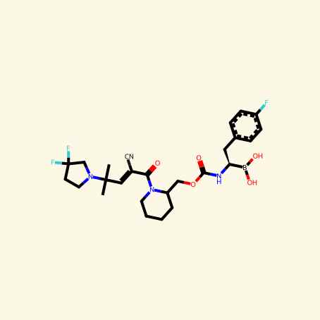 CC(C)(C=C(C#N)C(=O)N1CCCCC1COC(=O)N[C@@H](Cc1ccc(F)cc1)B(O)O)N1CCC(F)(F)C1